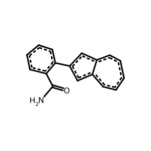 NC(=O)c1ccccc1-c1cc2cccccc-2c1